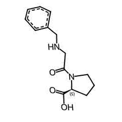 O=C(O)[C@@H]1CCCN1C(=O)CNCc1ccccc1